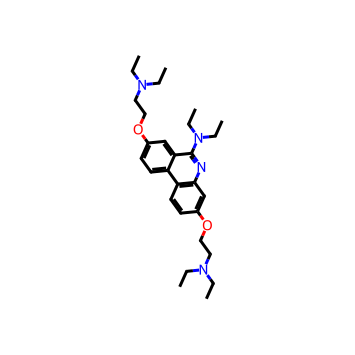 CCN(CC)CCOc1ccc2c(c1)nc(N(CC)CC)c1cc(OCCN(CC)CC)ccc12